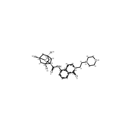 O=C(Nc1cccc2c(=O)n(CCN3CCOCC3)ccc12)[C@@]12C[C@@H]3C[C@@H](C[C@@H]1C3)C2